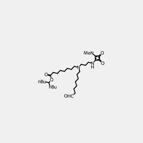 CCCCC(CCCC)OC(=O)CCCCCCCN(CCCCCCCC=O)CCCNc1c(NC)c(=O)c1=O